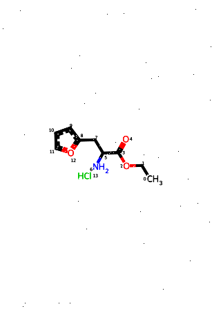 CCOC(=O)C(N)Cc1ccco1.Cl